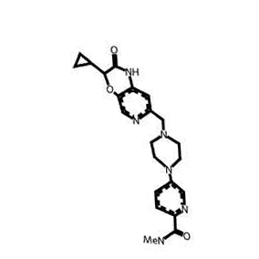 CNC(=O)c1ccc(N2CCN(Cc3cc4c(cn3)OC(C3CC3)C(=O)N4)CC2)cn1